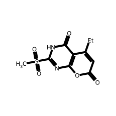 CCc1cc(=O)oc2nc(S(C)(=O)=O)[nH]c(=O)c12